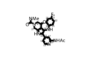 CNC(=O)N1CC(=O)c2c([nH]c(-c3ccnc(NC(C)=O)c3)c2Nc2ccc(F)cc2)C1